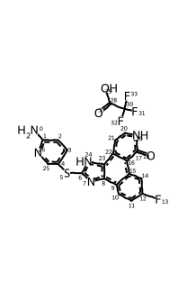 Nc1ccc(Sc2nc3c4ccc(F)cc4c4c(=O)[nH]ccc4c3[nH]2)cn1.O=C(O)C(F)(F)F